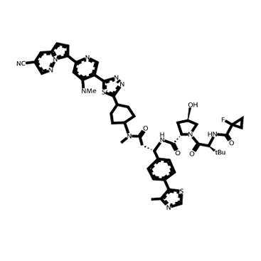 CNc1cc(-c2ccc3cc(C#N)cnn23)ncc1-c1nnc(C2CCC(N(C)C(=O)C[C@H](NC(=O)[C@@H]3C[C@@H](O)CN3C(=O)[C@@H](NC(=O)C3(F)CC3)C(C)(C)C)c3ccc(-c4scnc4C)cc3)CC2)s1